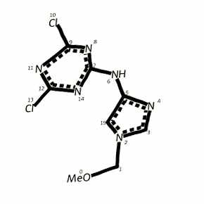 COCn1cnc(Nc2nc(Cl)nc(Cl)n2)c1